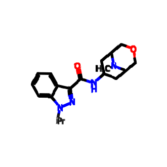 CC(C)n1nc(C(=O)NC2CC3COCC(C2)N3C)c2ccccc21